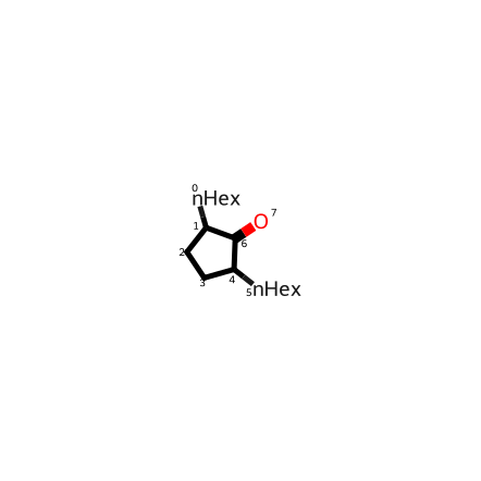 CCCCCCC1CCC(CCCCCC)C1=O